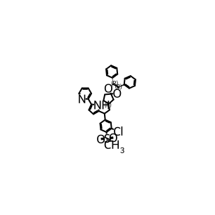 CS(=O)(=O)c1ccc(C(C[C@H]2CCC3(C2)O[C@H](c2ccccc2)[C@@H](c2ccccc2)O3)c2ccc(-c3ccccn3)[nH]2)cc1Cl